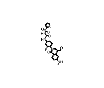 CNc1ccc2c(=O)n(-c3ccc(NC(=O)NS(=O)(=O)c4cccs4)cc3F)cc(C=O)c2c1